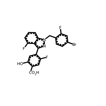 O=C(O)c1cc(F)c(-c2nn(Cc3ccc(Br)cc3F)c3cccc(F)c23)cc1O